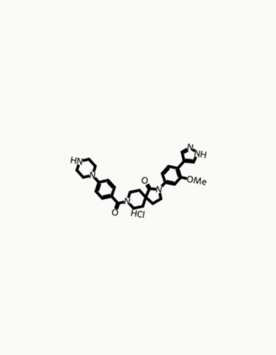 COc1cc(N2CCC3(CCN(C(=O)c4ccc(N5CCNCC5)cc4)CC3)C2=O)ccc1-c1cn[nH]c1.Cl